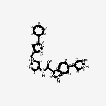 O=C(Nc1cnn(Cc2cc(-c3ccccc3)on2)c1)c1n[nH]c2cc(-c3cn[nH]c3)ccc12